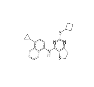 c1ccc2c(C3CC3)ccc(Nc3nc(SC4CCC4)nc4c3SCC4)c2c1